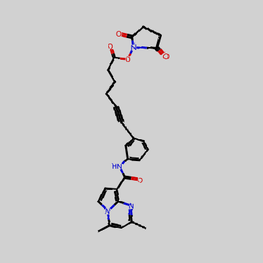 Cc1cc(C)n2ccc(C(=O)Nc3cccc(C#CCCCC(=O)ON4C(=O)CCC4=O)c3)c2n1